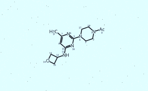 CC(=O)N1CCN(c2nc(C)cc(NC3COC3)n2)CC1